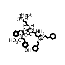 CCCCCCCC(=O)NCCCC[C@H](NC(=O)[C@@H](N)CC1=CN(CCC2CCCCC2)CN1CCC1CCCCC1)C(=O)N[C@@H](Cc1ccccc1)C(=O)N[C@@H](Cc1ccc(O)cc1)C(=O)O